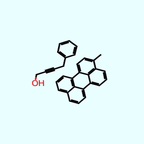 Cc1ccc2c3cccc4cccc(c5cccc1c52)c43.OCC#CCc1ccccc1